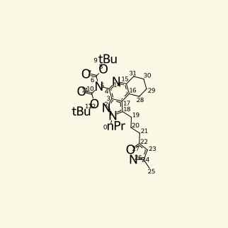 CCCn1nc2c(N(C(=O)OC(C)(C)C)C(=O)OC(C)(C)C)nc3c(c2c1CCCc1cc(C)no1)CCCC3